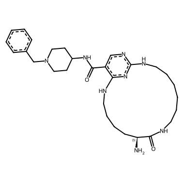 N[C@H]1CCCCNc2nc(ncc2C(=O)NC2CCN(Cc3ccccc3)CC2)NCCCCCCNC1=O